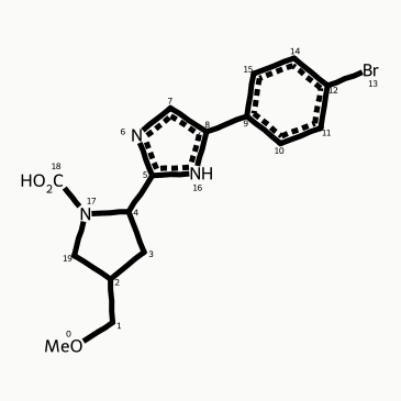 COCC1CC(c2ncc(-c3ccc(Br)cc3)[nH]2)N(C(=O)O)C1